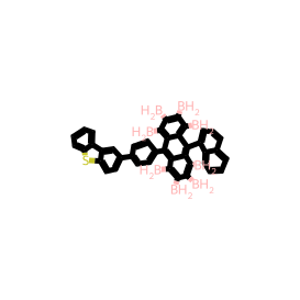 Bc1c(B)c(B)c2c(-c3cccc4ccccc34)c3c(B)c(B)c(B)c(B)c3c(-c3ccc(-c4ccc5sc6ccccc6c5c4)cc3)c2c1B